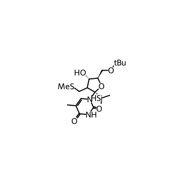 CSCC1[C@H](O)[C@@H](COC(C)(C)C)O[C@]1(n1cc(C)c(=O)[nH]c1=O)[SiH](C)C